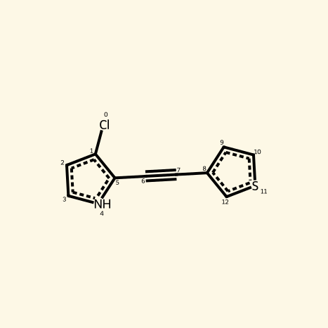 Clc1cc[nH]c1C#Cc1ccsc1